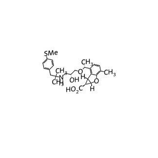 CSc1ccc(CC(C)(C)NC[C@@H](O)CO[C@H](C)c2ccc(C)c3c2[C@@H]2[C@H](O3)[C@H]2C(=O)O)cc1